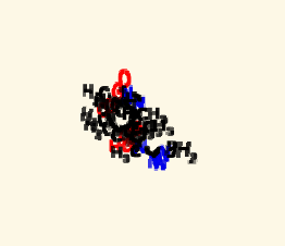 Bn1cc(CCN(C)C2C[C@@H](C)O[C@H](O[C@@H]3[C@@H](C)[C@H](C)[C@@H](C)C(=O)O[C@H](CC)[C@@]4(C)OC(=O)N5CCN=C([C@H](C)C[C@@]3(C)OC)[C@@H](C)[C@@H]54)[C@@H]2O)nn1